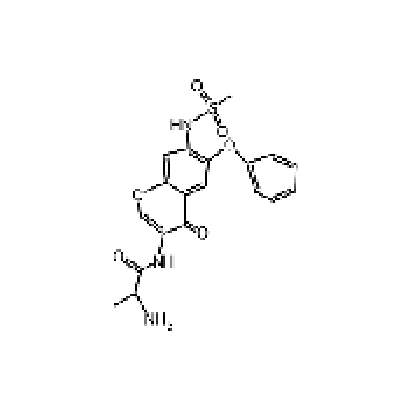 CC(N)C(=O)Nc1coc2cc(NS(C)(=O)=O)c(Oc3ccccc3)cc2c1=O